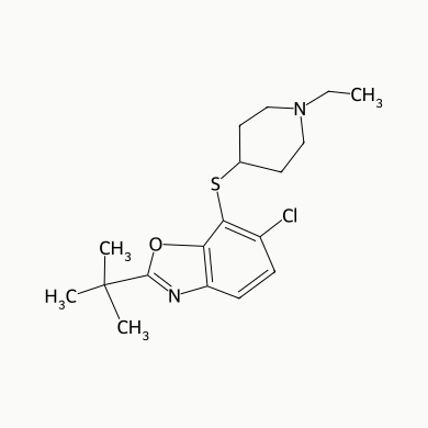 CCN1CCC(Sc2c(Cl)ccc3nc(C(C)(C)C)oc23)CC1